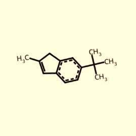 CC1=Cc2ccc(C(C)(C)C)cc2C1